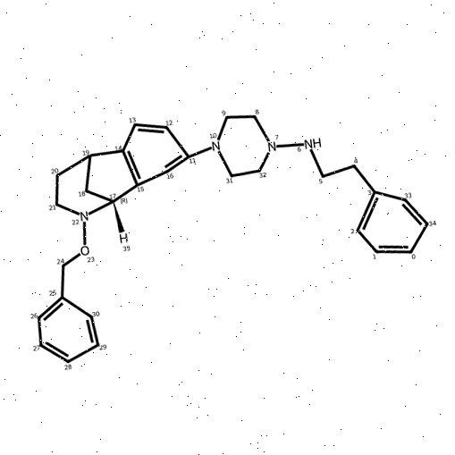 c1ccc(CCNN2CCN(c3ccc4c(c3)[C@H]3CC4CCN3OCc3ccccc3)CC2)cc1